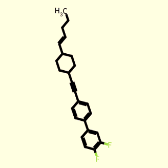 CCC/C=C/C1CCC(C#Cc2ccc(-c3ccc(F)c(F)c3)cc2)CC1